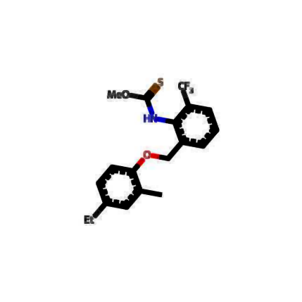 CCc1ccc(OCc2cccc(C(F)(F)F)c2NC(=S)OC)c(C)c1